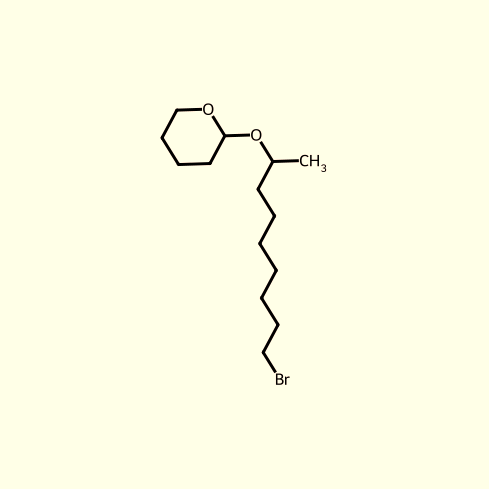 CC(CCCCCCCBr)OC1CCCCO1